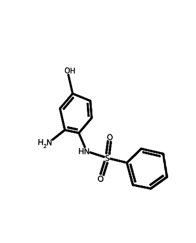 Nc1cc(O)ccc1NS(=O)(=O)c1ccccc1